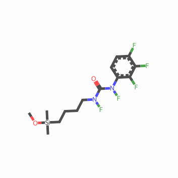 CO[Si](C)(C)CCCCN(F)C(=O)N(F)c1ccc(F)c(F)c1F